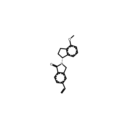 C=Cc1ccc2c(c1)CN([C@@H]1CCc3c(OC)cccc31)C2=O